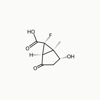 C[C@]12[C@H](O)CC(=O)[C@H]1[C@@]2(F)C(=O)O